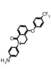 Nc1ccc(N2CCc3c(Oc4ccc(C(F)(F)F)cc4)cccc3C2=O)cc1